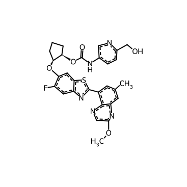 COc1cnc2c(-c3nc4cc(F)c(O[C@H]5CCC[C@H]5OC(=O)Nc5ccc(CO)nc5)cc4s3)cc(C)cc2n1